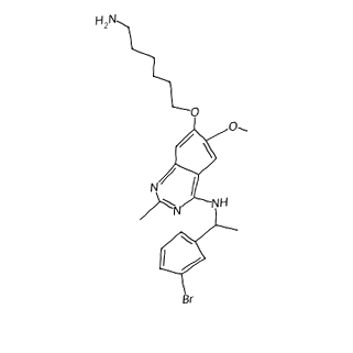 COc1cc2c(NC(C)c3cccc(Br)c3)nc(C)nc2cc1OCCCCCCN